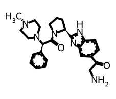 CN1CCN([C@@H](C(=O)N2CCC[C@H]2c2nc3cc(C(=O)CN)ccc3[nH]2)c2ccccc2)CC1